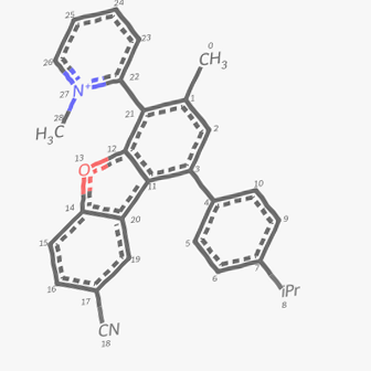 Cc1cc(-c2ccc(C(C)C)cc2)c2c(oc3ccc(C#N)cc32)c1-c1cccc[n+]1C